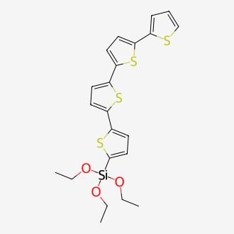 CCO[Si](OCC)(OCC)c1ccc(-c2ccc(-c3ccc(-c4cccs4)s3)s2)s1